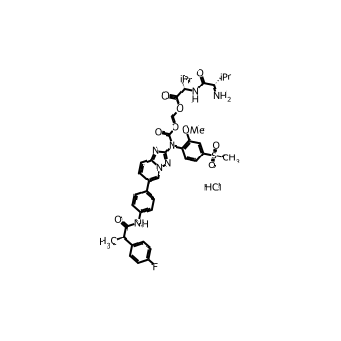 COc1cc(S(C)(=O)=O)ccc1N(C(=O)OCOC(=O)[C@@H](NC(=O)[C@@H](N)C(C)C)C(C)C)c1nc2ccc(-c3ccc(NC(=O)[C@H](C)c4ccc(F)cc4)cc3)cn2n1.Cl